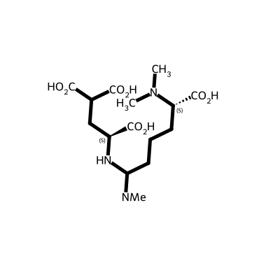 CNC(CCC[C@@H](C(=O)O)N(C)C)N[C@@H](CC(C(=O)O)C(=O)O)C(=O)O